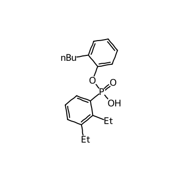 CCCCc1ccccc1OP(=O)(O)c1cccc(CC)c1CC